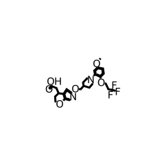 COc1ccc(OCCC(F)(F)F)c(N2CCC(COc3cc4c(cn3)OCCC4CC(=O)O)CC2)c1